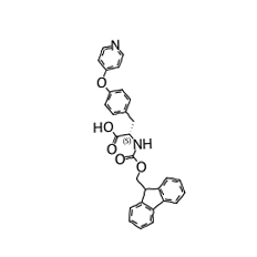 O=C(N[C@@H](Cc1ccc(Oc2ccncc2)cc1)C(=O)O)OCC1c2ccccc2-c2ccccc21